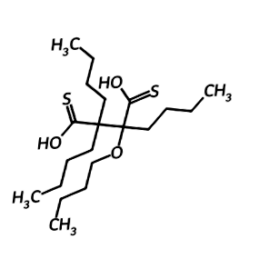 CCCCOC(CCCC)(C(O)=S)C(CCCC)(CCCC)C(O)=S